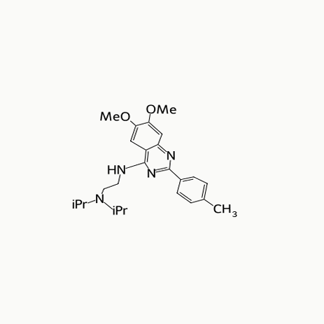 COc1cc2nc(-c3ccc(C)cc3)nc(NCCN(C(C)C)C(C)C)c2cc1OC